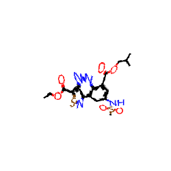 CCOC(=O)c1snc2c1nnc1c(C(=O)OCC(C)C)cc(NS(C)(=O)=O)cc12